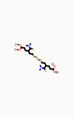 CCOC(CCC(CCSSSSCCC(CCC(OCC)OCC)C(=S)N(C)C)C(=S)N(C)C)OCC